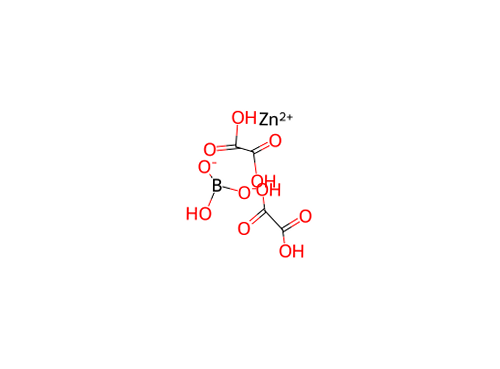 O=C(O)C(=O)O.O=C(O)C(=O)O.[O-]B([O-])O.[Zn+2]